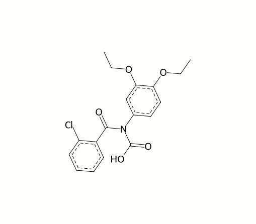 CCOc1ccc(N(C(=O)O)C(=O)c2ccccc2Cl)cc1OCC